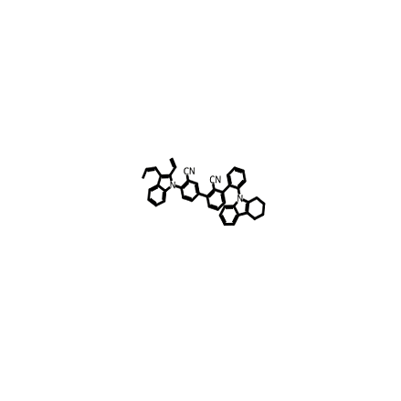 C=Cc1c(/C=C\C)c2ccccc2n1-c1ccc(-c2cccc(-c3ccccc3-n3c4c(c5ccccc53)CCCC4)c2C#N)cc1C#N